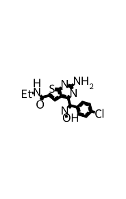 CCNC(=O)c1cc2c(C(=NO)c3ccc(Cl)cc3)nc(N)nc2s1